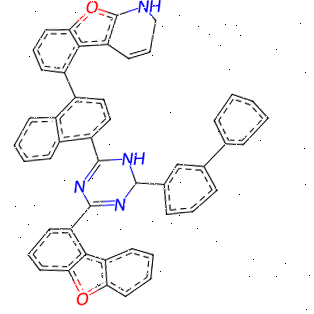 C1=Cc2c(oc3cccc(-c4ccc(C5=NC(c6cccc7oc8ccccc8c67)=NC(c6cccc(-c7ccccc7)c6)N5)c5ccccc45)c23)NC1